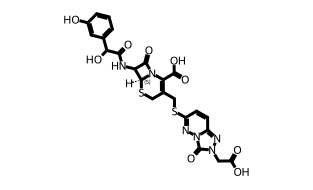 O=C(O)Cn1nc2ccc(SCC3=C(C(=O)O)N4C(=O)C(NC(=O)C(O)c5cccc(O)c5)[C@@H]4SC3)nn2c1=O